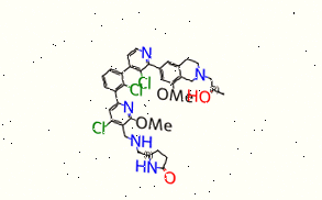 COc1cc(-c2nccc(-c3cccc(-c4cc(Cl)c(CNC[C@H]5CCC(=O)N5)c(OC)n4)c3Cl)c2Cl)cc2c1CN(C[C@@H](C)O)CC2